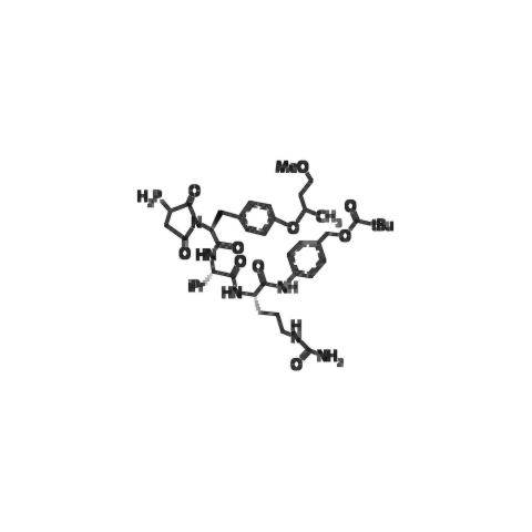 COCCC(C)Oc1ccc(C[C@@H](C(=O)N[C@H](C(=O)N[C@@H](CCCNC(N)=O)C(=O)Nc2ccc(COC(=O)C(C)(C)C)cc2)C(C)C)N2C(=O)CC(P)C2=O)cc1